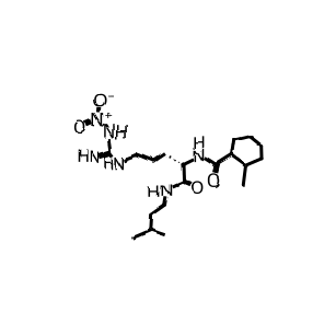 CC(C)CCNC(=O)[C@H](CCCNC(=N)N[N+](=O)[O-])NC(=O)C1CCCCC1C